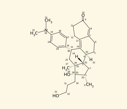 C[C@H]1C[C@H]2[C@@H]3CCC4=CC(=O)CCC4=C3[C@@H](c3ccc(N(C)C)cc3)C[C@]2(C)[C@]1(O)CCCO